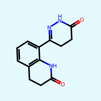 O=C1CCC(c2cccc3c2NC(=O)CC3)=NN1